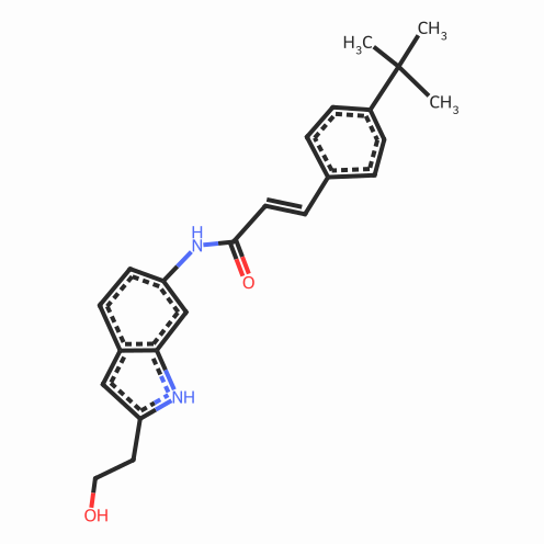 CC(C)(C)c1ccc(/C=C/C(=O)Nc2ccc3cc(CCO)[nH]c3c2)cc1